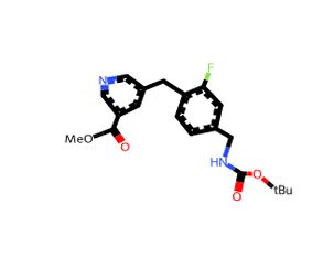 COC(=O)c1cncc(Cc2ccc(CNC(=O)OC(C)(C)C)cc2F)c1